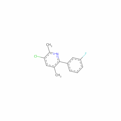 Cc1cc(Cl)c(C)nc1-c1cccc(F)c1